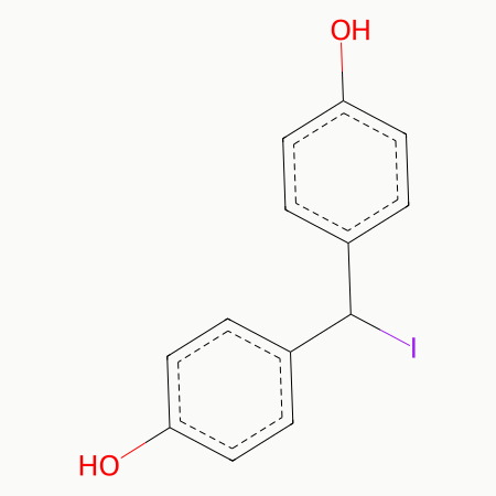 Oc1ccc(C(I)c2ccc(O)cc2)cc1